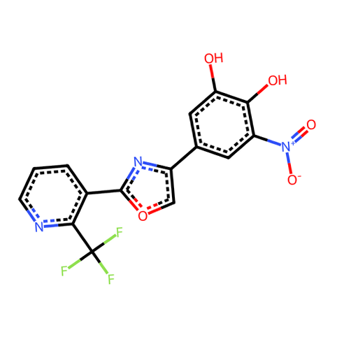 O=[N+]([O-])c1cc(-c2coc(-c3cccnc3C(F)(F)F)n2)cc(O)c1O